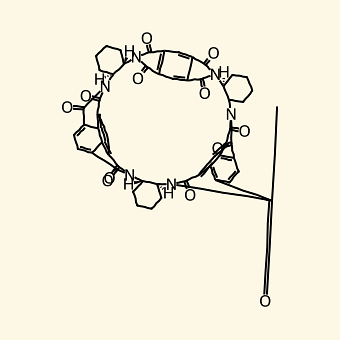 O=C1c2ccc3c4c5ccc(c24)C(=O)N1C1CCCC[C@@H]1n1c(=O)c2cc4c(=O)n(c(=O)c4cc2c1=O)[C@H]1CCCC[C@@H]1N1C(=O)c2ccc4c6c(ccc(c26)C1=O)C(=O)N(C4=O)[C@H]1CCCC[C@@H]1N(C3=O)C5=O